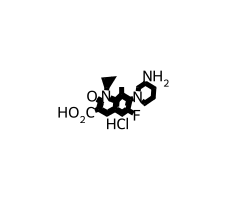 Cc1c(N2CCCC(N)C2)c(F)cc2cc(C(=O)O)c(=O)n(C3CC3)c12.Cl